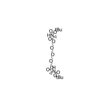 CC(C)(C)OC(=O)NC1(C(=O)OCCOCCOCCOCCOC(=O)C2(NC(=O)OC(C)(C)C)CC2)CC1